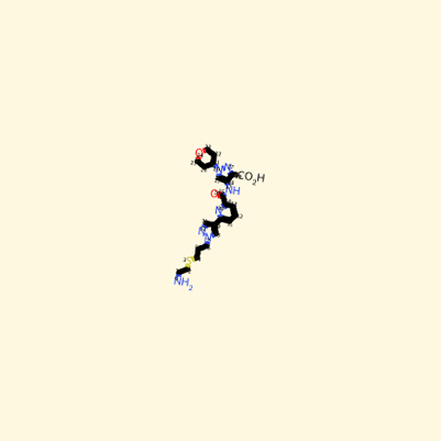 NCCSCCCn1cc(-c2cccc(C(=O)Nc3cn(C4CCOCC4)nc3C(=O)O)n2)cn1